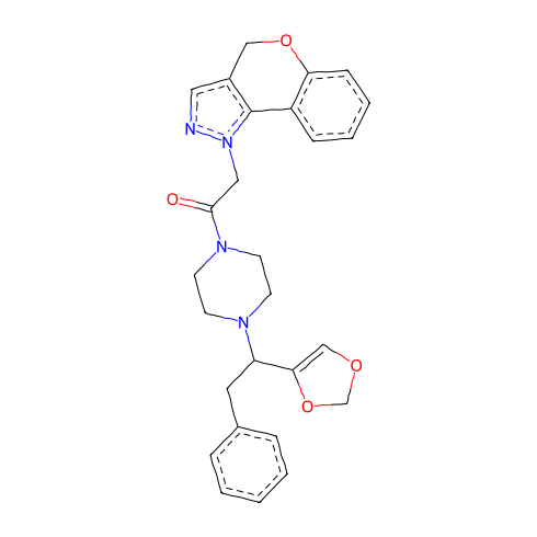 O=C(Cn1ncc2c1-c1ccccc1OC2)N1CCN(C(Cc2ccccc2)C2=COCO2)CC1